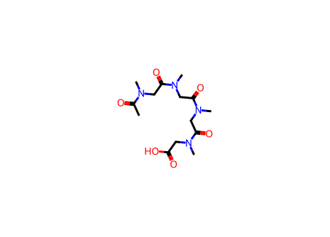 CC(=O)N(C)CC(=O)N(C)CC(=O)N(C)CC(=O)N(C)CC(=O)O